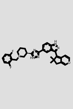 CC1(C)CC2=COC=CC2=C1c1n[nH]c2ccc(-c3n[nH]c([C@@H]4CCCN(Cc5c(F)cccc5F)C4)n3)cc12